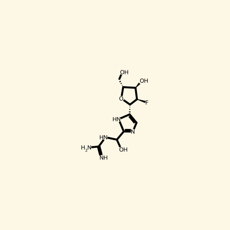 N=C(N)NC(O)c1ncc([C@@H]2O[C@H](CO)[C@@H](O)[C@H]2F)[nH]1